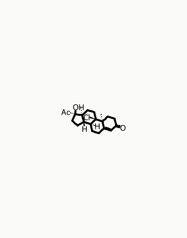 CC(=O)[C@@]1(O)CC[C@H]2[C@@H]3CCC4=CC(=O)CC[C@]4(C)[C@@]3(Cl)CC[C@@]21C